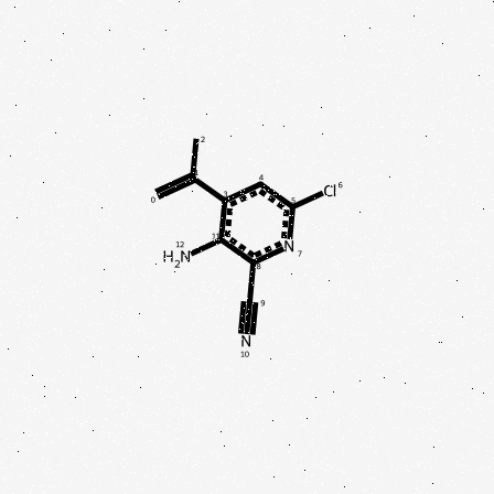 C=C(C)c1cc(Cl)nc(C#N)c1N